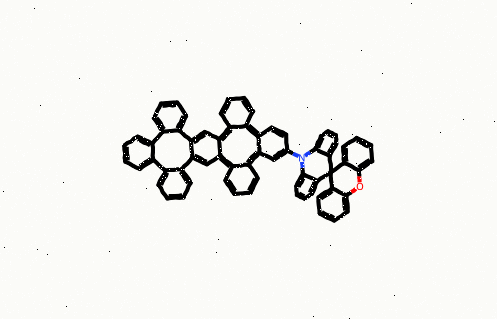 c1ccc2c(c1)Oc1ccccc1C21c2ccccc2N(c2ccc3c4ccccc4c4cc5c6ccccc6c6ccccc6c6ccccc6c5cc4c4ccccc4c3c2)c2ccccc21